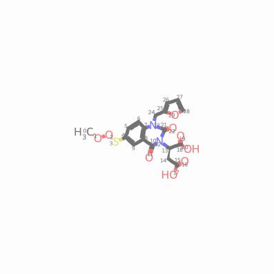 COOSc1ccc2c(c1)c(=O)n([C@H](CC(=O)O)C(=O)O)c(=O)n2Cc1ccco1